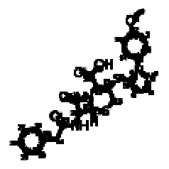 COc1ccc(-n2nccc2SC2=C(C(=O)O)N3C(=O)[C@@H](NC(=O)Cc4ccccc4)[C@@H]3SC2)cc1